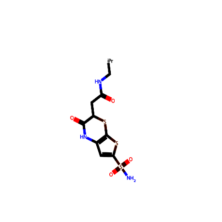 CC(C)CNC(=O)CC1Sc2sc(S(N)(=O)=O)cc2NC1=O